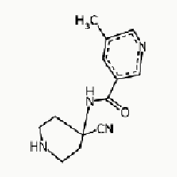 Cc1cncc(C(=O)NC2(C#N)CCNCC2)c1